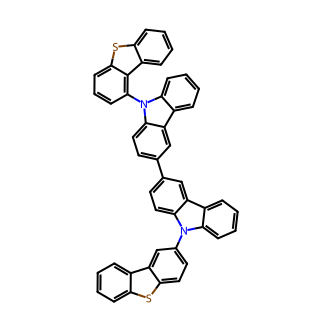 c1ccc2c(c1)sc1ccc(-n3c4ccccc4c4cc(-c5ccc6c(c5)c5ccccc5n6-c5cccc6sc7ccccc7c56)ccc43)cc12